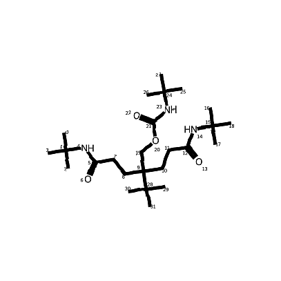 CC(C)(C)NC(=O)CCC(CCC(=O)NC(C)(C)C)(COC(=O)NC(C)(C)C)C(C)(C)C